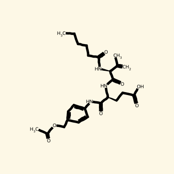 C=C(C)[C@H](NC(=O)CCCCC)C(=O)N[C@@H](CCC(=O)O)C(=O)Nc1ccc(COC(C)=O)cc1